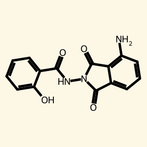 Nc1cccc2c1C(=O)N(NC(=O)c1ccccc1O)C2=O